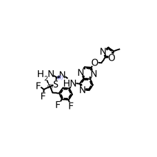 C/N=C(/N)S[C@](C)(Cc1cc(Nc2nccc3nc(OCc4ncc(C)o4)cnc23)cc(F)c1F)C(F)F